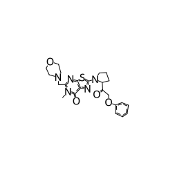 Cn1c(CN2CCOCC2)nc2sc(N3CCCC3C(=O)COc3ccccc3)nc2c1=O